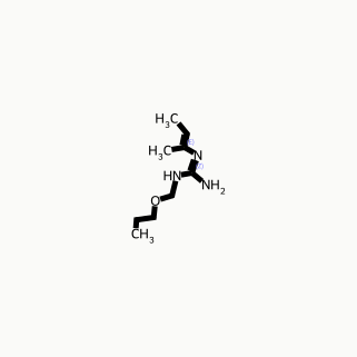 C/C=C(C)/N=C(/N)NCOCCC